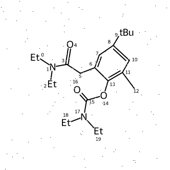 CCN(CC)C(=O)Cc1cc(C(C)(C)C)cc(C)c1OC(=O)N(CC)CC